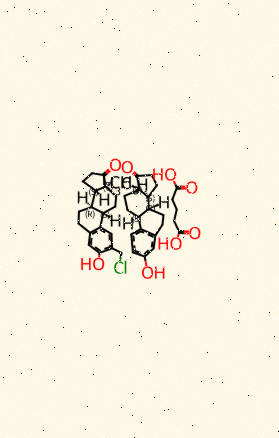 C[C@]12CC[C@@H]3c4cc(CCl)c(O)cc4CC[C@H]3[C@@H]1CCC2=O.C[C@]12CC[C@@H]3c4ccc(O)cc4CC[C@H]3[C@@H]1CCC2=O.O=C(O)CCCC(=O)O